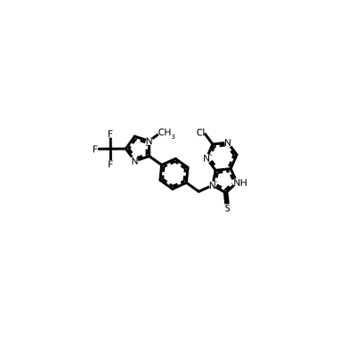 Cn1cc(C(F)(F)F)nc1-c1ccc(Cn2c(=S)[nH]c3cnc(Cl)nc32)cc1